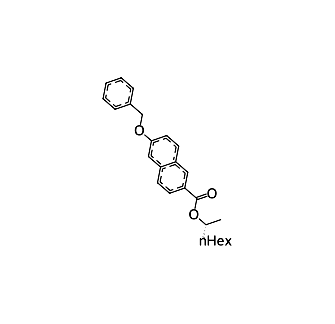 CCCCCC[C@@H](C)OC(=O)c1ccc2cc(OCc3ccccc3)ccc2c1